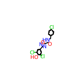 O=C(NCc1ccc(Cl)cc1)c1nc(-c2cc(Cl)c(O)c(Cl)c2)no1